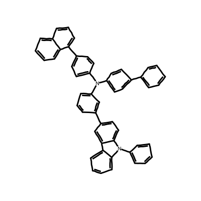 c1ccc(-c2ccc(N(c3ccc(-c4cccc5ccccc45)cc3)c3cccc(-c4ccc5c(c4)c4ccccc4n5-c4ccccc4)c3)cc2)cc1